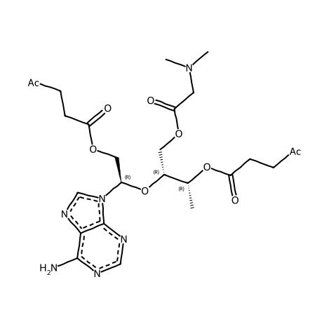 CC(=O)CCC(=O)OC[C@@H](O[C@H](COC(=O)CN(C)C)[C@@H](C)OC(=O)CCC(C)=O)n1cnc2c(N)ncnc21